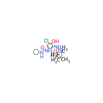 CC(C)(C)CC(C)(C)NC(=O)Nc1cc(NC(=O)NC2CCCCC2)cc(Cl)c1O